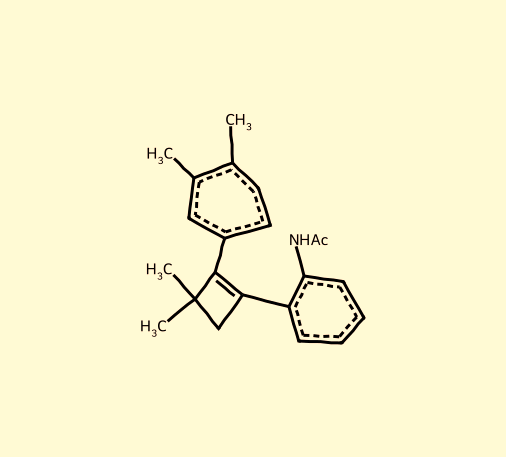 CC(=O)Nc1ccccc1C1=C(c2ccc(C)c(C)c2)C(C)(C)C1